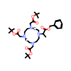 CC(C(=O)OCc1ccccc1)N1CCN(CC(=O)OC(C)(C)C)CCN(CC(=O)OC(C)(C)C)CCN(CC(=O)OC(C)(C)C)CC1